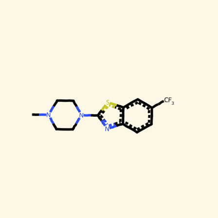 CN1CCN(c2nc3ccc(C(F)(F)F)cc3s2)CC1